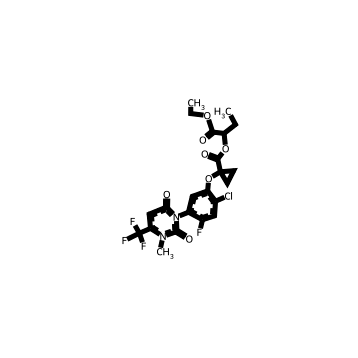 CCOC(=O)C(CC)OC(=O)C1(Oc2cc(-n3c(=O)cc(C(F)(F)F)n(C)c3=O)c(F)cc2Cl)CC1